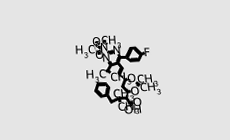 CC(C)c1nc(N(C)S(C)(=O)=O)nc(-c2ccc(F)cc2)c1C=C[C@@H]1C[C@H](C(C(=O)O)C(C)(C)Cc2ccccc2)OC(C)(C)O1